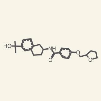 CC(C)(O)c1ccc2c(c1)CCC(NC(=O)c1ccc(OCC3CCCO3)cc1)C2